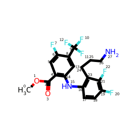 COC(=O)c1cc(F)c(C(F)(F)F)cc1Nc1ccc(F)c(F)c1CCCN